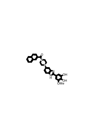 COc1cc(-c2nc3cc(N4CCN(C(=O)c5ccc6ccccc6c5)CC4)ccc3[nH]2)cc(O)c1O